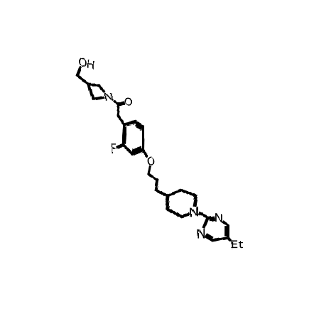 CCc1cnc(N2CCC(CCCOc3ccc(CC(=O)N4CC(CO)C4)c(F)c3)CC2)nc1